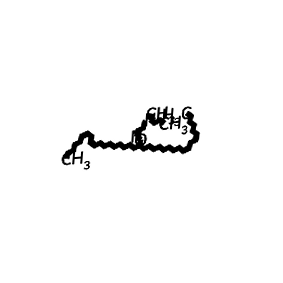 CCCCC/C=C\C/C=C\CCCCCCCCC(CCCCCCCC/C=C\C/C=C\CCCCC)O/N=C\CCN(C)CCC